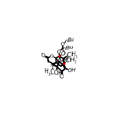 CCCCOCOC1C(C)CC[C@@]2(OCOCCCC)C13OC(=O)C[C@]2(C)C1(O)C(=O)C(O)=C(C)C13O